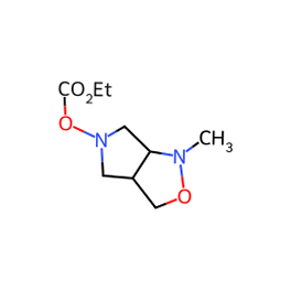 CCOC(=O)ON1CC2CON(C)C2C1